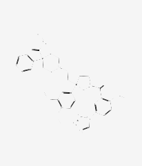 COc1ccc(C2(CCN3CCC(C(=O)NO)(c4ccccc4)CC3)CCN(C(=O)c3cc(-n4cnnn4)ccc3OC)C2)cc1OC